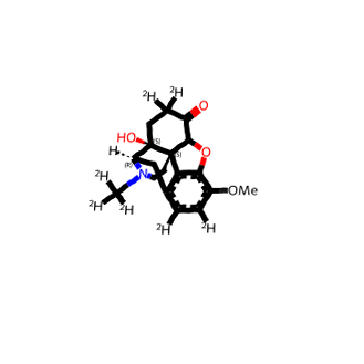 [2H]c1c([2H])c(OC)c2c3c1C[C@H]1N(C([2H])([2H])[2H])CC[C@@]34C(O2)C(=O)C([2H])([2H])C[C@@]14O